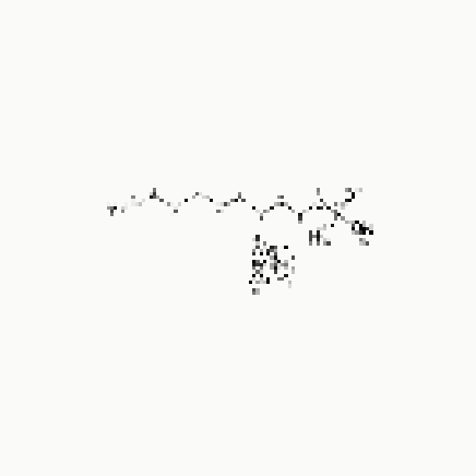 CCCCCCCCCCCCCCCCCCOP(=O)(O)O.[MgH2].[MgH2].[MgH2]